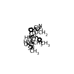 C=C(C#N)C(=O)N(C)c1cccc(C[C@H](NC(=O)[C@@H](NC(=O)c2cnc(C)s2)[C@@H](C)O)C(=O)NCc2ccc(C)cc2)c1